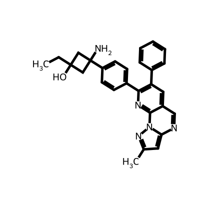 CCC1(O)CC(N)(c2ccc(-c3nc4c(cnc5cc(C)nn54)cc3-c3ccccc3)cc2)C1